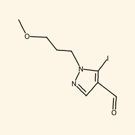 COCCCn1ncc(C=O)c1I